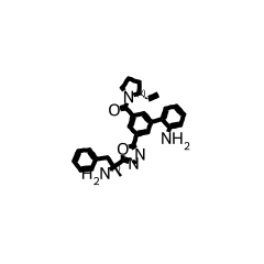 C=C[C@H]1CCCN1C(=O)c1cc(-c2nnc([C@](C)(N)Cc3ccccc3)o2)cc(-c2ccccc2N)c1